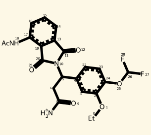 CCOc1cc(C(CC(N)=O)N2C(=O)c3cccc(NC(C)=O)c3C2=O)ccc1OC(F)F